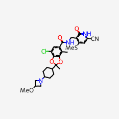 COC1CN(C2CCC(C3(C)Oc4c(Cl)cc(C(=O)NCc5c(SC)cc(C#N)[nH]c5=O)c(C)c4O3)CC2)C1